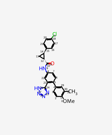 COc1ccc(-c2ccc(NC(=O)[C@@H]3C[C@H]3c3ccc(Cl)cc3)cc2-c2nnn[nH]2)cc1C